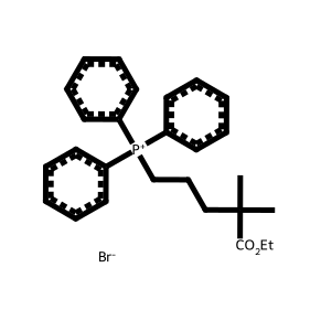 CCOC(=O)C(C)(C)CCC[P+](c1ccccc1)(c1ccccc1)c1ccccc1.[Br-]